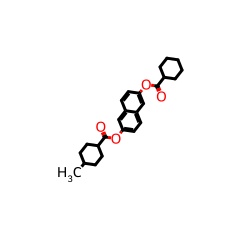 CC1CCC(C(=O)Oc2ccc3cc(OC(=O)C4CCCCC4)ccc3c2)CC1